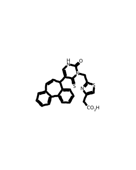 O=C(O)Cc1csc(Cn2c(=O)[nH]cc(C3C=Cc4ccccc4-c4ccccc43)c2=S)n1